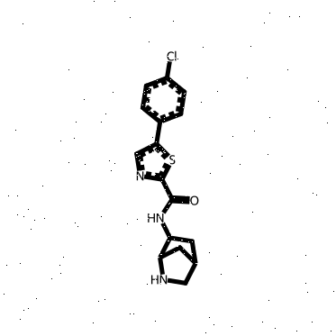 O=C(NC1CC2CNC1C2)c1ncc(-c2ccc(Cl)cc2)s1